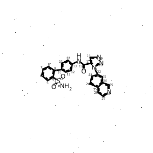 NS(=O)(=O)c1ccccc1-c1ccc(NC(=O)c2cnnn2-c2ccc3ccncc3c2)cc1